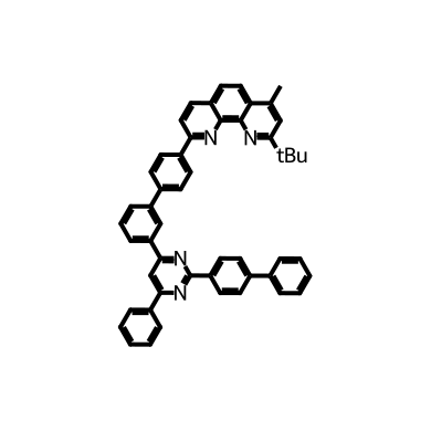 Cc1cc(C(C)(C)C)nc2c1ccc1ccc(-c3ccc(-c4cccc(-c5cc(-c6ccccc6)nc(-c6ccc(-c7ccccc7)cc6)n5)c4)cc3)nc12